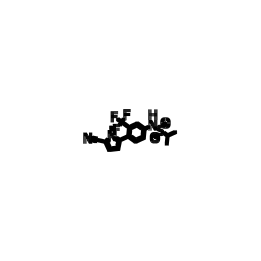 CC(C)S(=O)(=O)Nc1ccc(-c2ccc(C#N)n2C)c(C(F)(F)F)c1